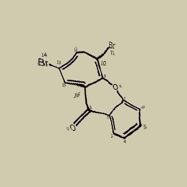 O=c1c2ccccc2oc2c(Br)cc(Br)cc12